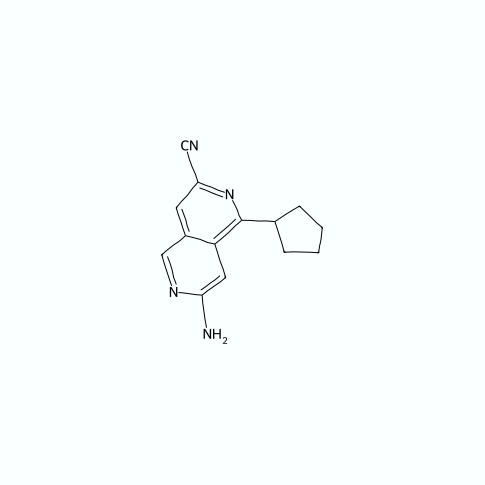 N#Cc1cc2cnc(N)cc2c(C2CCCC2)n1